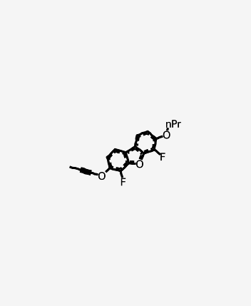 CC#COc1ccc2c(oc3c(F)c(OCCC)ccc32)c1F